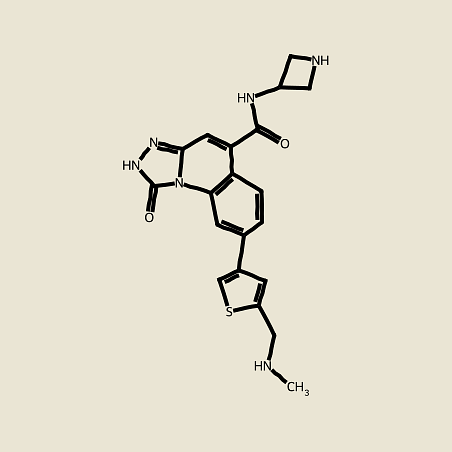 CNCc1cc(-c2ccc3c(C(=O)NC4CNC4)cc4n[nH]c(=O)n4c3c2)cs1